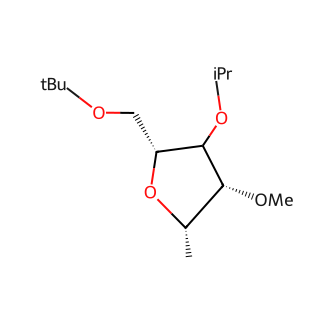 CO[C@H]1C(OC(C)C)[C@@H](COC(C)(C)C)O[C@H]1C